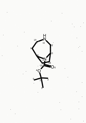 CC(C)(C)OC(=O)N1C2CCNCC1CC2